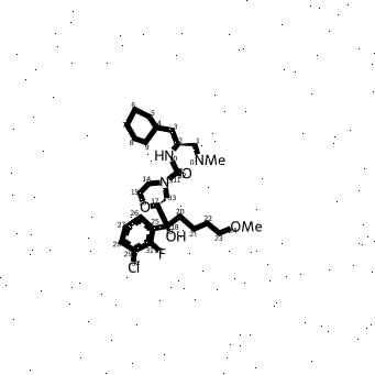 CNC[C@H](CC1CCCCC1)NC(=O)N1CCO[C@@H]([C@](O)(CCCCOC)c2cccc(Cl)c2F)C1